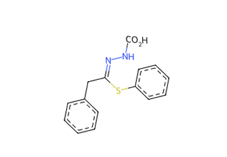 O=C(O)NN=C(Cc1ccccc1)Sc1ccccc1